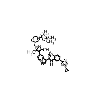 Cc1nn(C[C@H]2CN(C(=O)OC(C)(C)C)CCO2)c(C)c1-c1ccn2ncc(C(=O)Nc3cc(-c4nnn(C5CC5)n4)ccc3Cl)c2c1